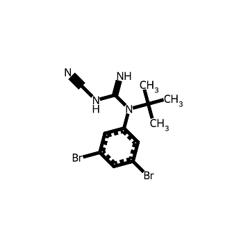 CC(C)(C)N(C(=N)NC#N)c1cc(Br)cc(Br)c1